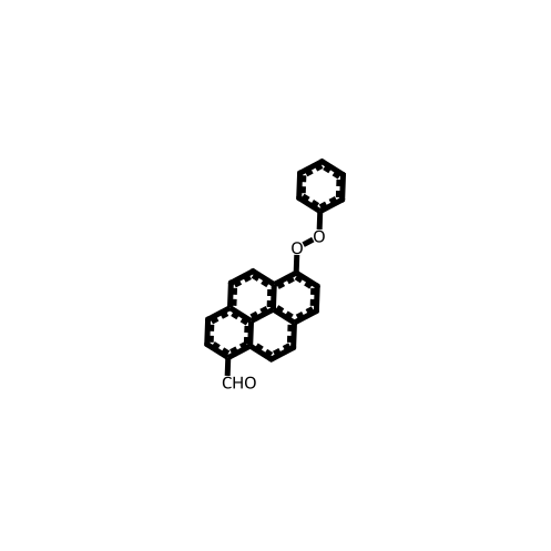 O=Cc1ccc2ccc3c(OOc4ccccc4)ccc4ccc1c2c43